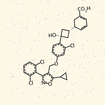 O=C(O)C1=CC=CC([C@H]2C[C@](O)(c3ccc(OCc4c(-c5c(Cl)cccc5Cl)noc4C4CC4)cc3Cl)C2)C1